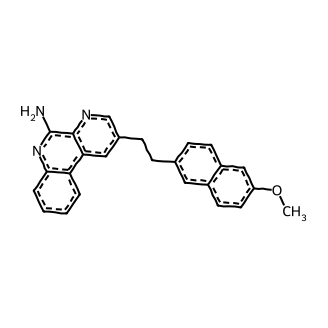 COc1ccc2cc(CCc3cnc4c(N)nc5ccccc5c4c3)ccc2c1